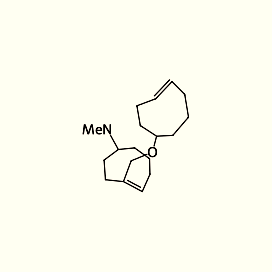 CNC1CCC/C=C(\COC2CC/C=C/CCC2)CC1